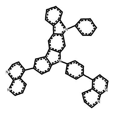 c1ccc(-n2c3ccccc3c3cc4c5cc(-c6ccnc7ncccc67)ccc5n(-c5ccc(-c6ccnc7ncccc67)cc5)c4cc32)cc1